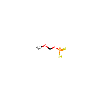 COCO[PH](=S)S